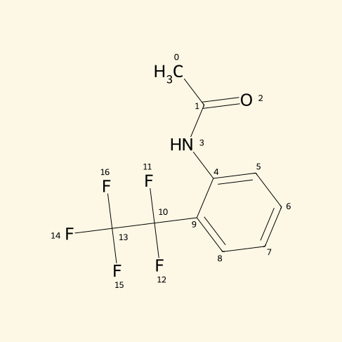 CC(=O)Nc1ccccc1C(F)(F)C(F)(F)F